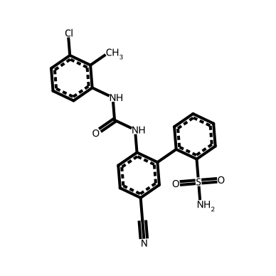 Cc1c(Cl)cccc1NC(=O)Nc1ccc(C#N)cc1-c1ccccc1S(N)(=O)=O